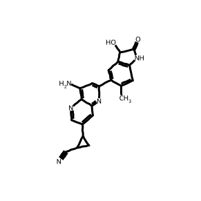 Cc1cc2c(cc1-c1cc(N)c3ncc(C4CC4C#N)cc3n1)C(O)C(=O)N2